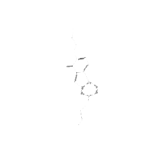 O=C1C(OCCCl)=CC=C2C1=Cc1cc(OCCCl)ccc12